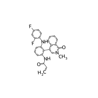 C=CC(=O)Nc1cccc(Nc2ccc(F)cc2F)c1-c1cn(C)c(=O)c2ccccc12